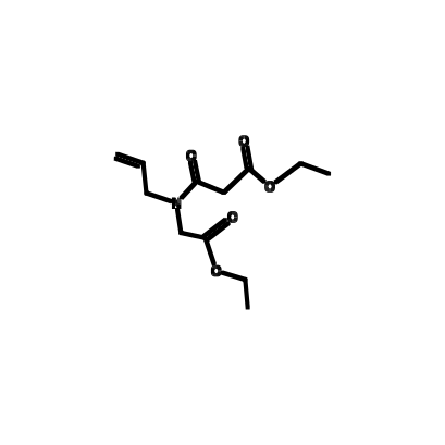 C=CCN(CC(=O)OCC)C(=O)CC(=O)OCC